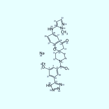 CCOc1cc(C(=O)N2CCC3(CC2)CC(=O)c2cc(Nc4ccnn4C)ccc2O3)cc(-c2nnn[nH]2)c1.[Na]